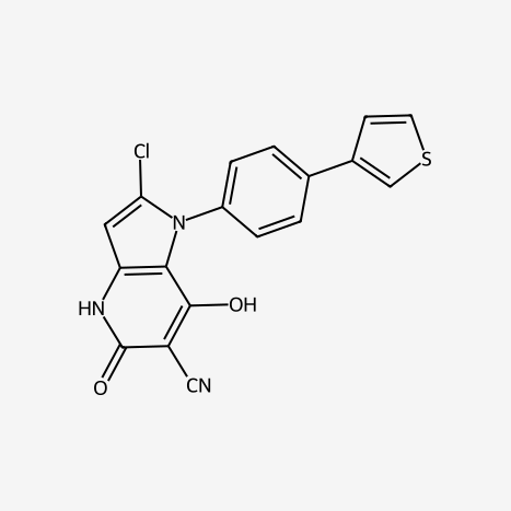 N#Cc1c(O)c2c(cc(Cl)n2-c2ccc(-c3ccsc3)cc2)[nH]c1=O